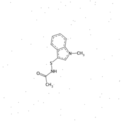 CC(=O)NSc1cn(C)c2ccccc12